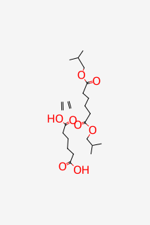 C=C.C=C.CC(C)COC(=O)CCCCC(=O)OCC(C)C.O=C(O)CCCCC(=O)O